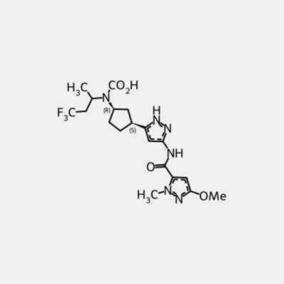 COc1cc(C(=O)Nc2cc([C@H]3CC[C@@H](N(C(=O)O)C(C)CC(F)(F)F)C3)[nH]n2)n(C)n1